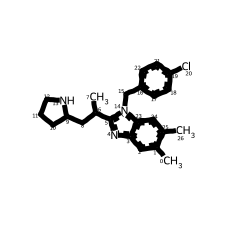 Cc1cc2nc(C(C)CC3CCCN3)n(Cc3ccc(Cl)cc3)c2cc1C